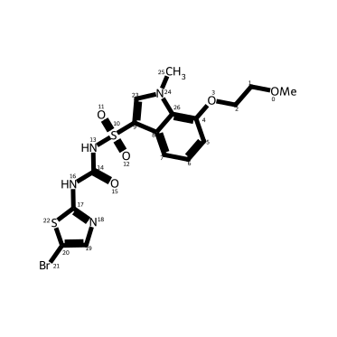 COCCOc1cccc2c(S(=O)(=O)NC(=O)Nc3ncc(Br)s3)cn(C)c12